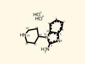 Cl.Cl.Nc1nc2ccccc2n1C1CCNCC1